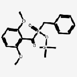 COc1cccc(OC)c1C(=O)P(=O)(Cc1ccccc1)O[Si](C)(C)C